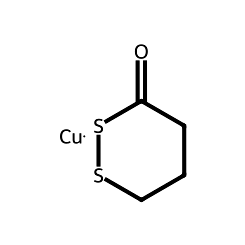 O=C1CCCSS1.[Cu]